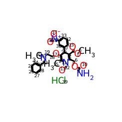 COC(=O)C1=C(COC(N)=O)N(C=O)C(C)=C(OCCN(C)Cc2ccccc2)C1c1cccc([N+](=O)[O-])c1.Cl